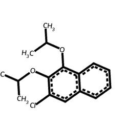 CC(C)Oc1c(Cl)cc2ccccc2c1OC(C)C